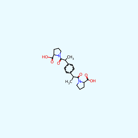 CC(C(=O)N1CCCC1C(=O)O)c1ccc(C(C)C(=O)N2CCCC2C(=O)O)cc1